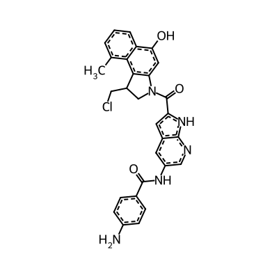 Cc1cccc2c(O)cc3c(c12)C(CCl)CN3C(=O)c1cc2cc(NC(=O)c3ccc(N)cc3)cnc2[nH]1